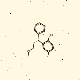 CNCC[C@H](c1ccccc1)c1cc(C)ccc1O